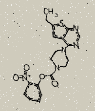 CCc1cc2c(N3CCN(C(=O)Oc4ccccc4[N+](=O)[O-])CC3)ncnc2s1